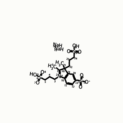 CC1=[N+](CCCS(=O)(=O)O)c2ccc(S(=O)(=O)[O-])cc2C1(C)CCCS(=O)(=O)O.[NaH].[NaH]